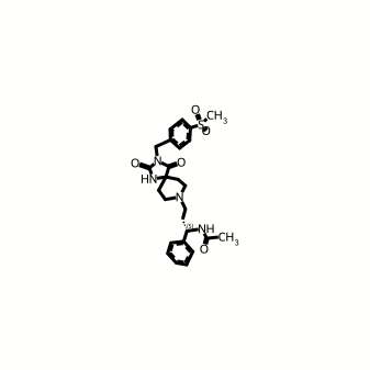 CC(=O)N[C@@H](CCN1CCC2(CC1)NC(=O)N(Cc1ccc(S(C)(=O)=O)cc1)C2=O)c1ccccc1